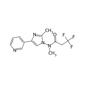 Cc1nc(-c2cccnc2)cn1N(C)C(=O)CC(F)(F)F